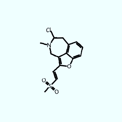 CN1Cc2c(C=CS(C)(=O)=O)oc3cccc(c23)CC1Cl